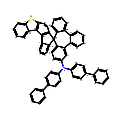 c1ccc(-c2ccc(N(c3ccc(-c4ccccc4)cc3)c3ccc4c(c3)-c3ccccc3-c3ccccc3C43c4ccccc4-c4c3ccc3sc5ccccc5c43)cc2)cc1